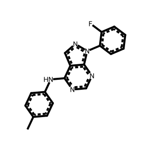 Cc1ccc(Nc2ncnc3c2cnn3-c2ccccc2F)cc1